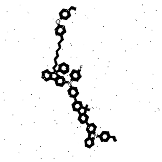 C=Cc1ccc(Oc2ccc(CCCCCCCCC3(c4ccccc4)c4ccccc4-c4ccc(N(c5ccc(F)cc5)c5ccc(-c6ccc7c(c6)C(C)(C)c6cc(-c8ccc9c(c8)c8ccccc8n9-c8ccc(C=C)cc8)ccc6-7)cc5)cc43)cc2)cc1